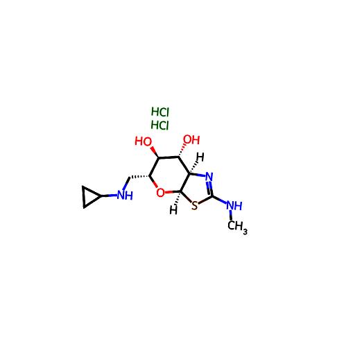 CNC1=N[C@@H]2[C@@H](O)[C@H](O)[C@@H](CNC3CC3)O[C@@H]2S1.Cl.Cl